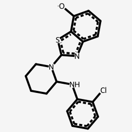 [O]c1cccc2nc(N3CCCCC3Nc3ccccc3Cl)sc12